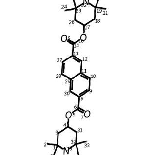 CC1(C)CC(OC(=O)c2ccc3cc(C(=O)OC4CC(C)(C)NC(C)(C)C4)ccc3c2)CC(C)(C)N1